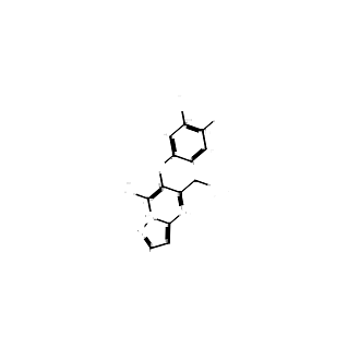 CCc1nc2ccnn2c(O)c1Oc1ccc(F)c(F)c1